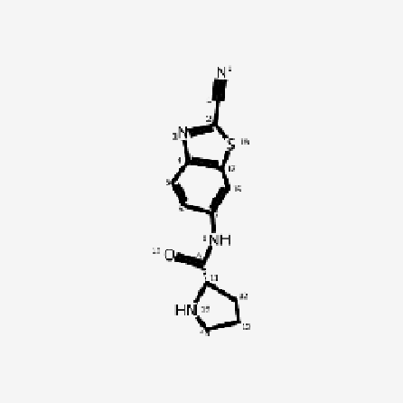 N#Cc1nc2ccc(NC(=O)[C@@H]3CCCN3)cc2s1